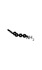 CCCCCCc1ccc2cc(-c3ccc(-c4ccc(CN)cc4)cc3)ccc2c1